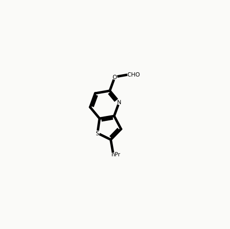 CCCc1cc2nc(OC=O)ccc2s1